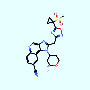 C[C@@H]1CC(n2c(Cc3noc(C4(S(C)(=O)=O)CC4)n3)nc3cnc4ccc(C#N)cc4c32)CCO1